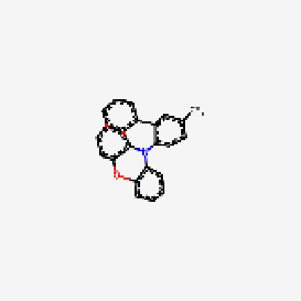 FC(F)(F)c1ccc(N2c3ccccc3Oc3ccccc32)c(-c2ccccc2)c1